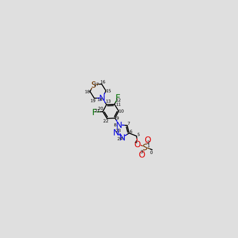 CS(=O)(=O)OCc1cn(-c2cc(F)c(N3CCSCC3)c(F)c2)nn1